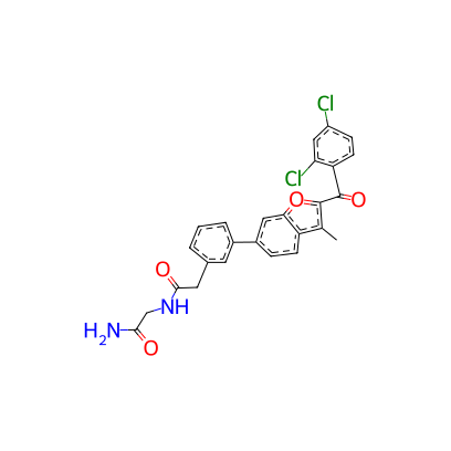 Cc1c(C(=O)c2ccc(Cl)cc2Cl)oc2cc(-c3cccc(CC(=O)NCC(N)=O)c3)ccc12